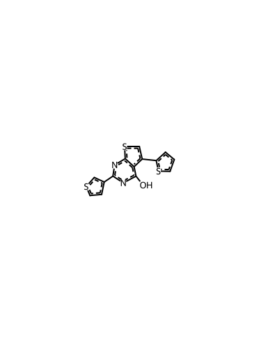 Oc1nc(-c2ccsc2)nc2scc(-c3cccs3)c12